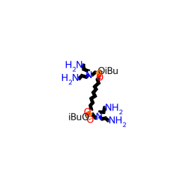 CC(C)COP(CCN(CCCN)CCCN)OCCCCCCCCCCOP(=O)(CCN(CCCN)CCCN)OCC(C)C